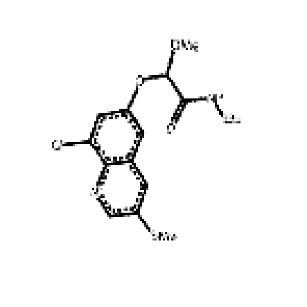 COC(Oc1cc(Cl)c2ncc(SC)cc2c1)C(=O)NC(C)(C)C